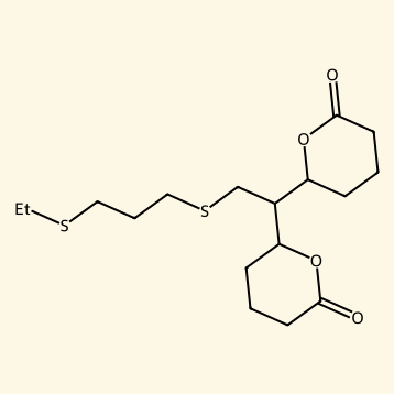 CCSCCCSCC(C1CCCC(=O)O1)C1CCCC(=O)O1